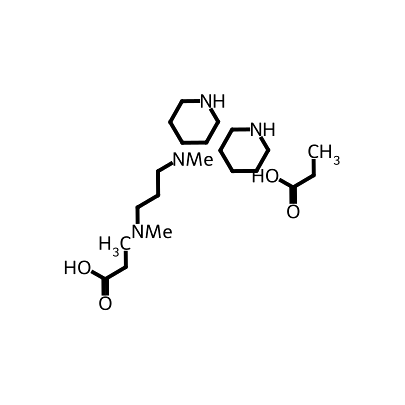 C1CCNCC1.C1CCNCC1.CCC(=O)O.CCC(=O)O.CNCCCNC